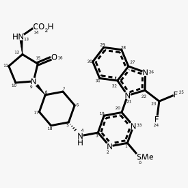 CSc1nc(N[C@H]2CC[C@H](N3CC[C@@H](NC(=O)O)C3=O)CC2)cc(-n2c(C(F)F)nc3ccccc32)n1